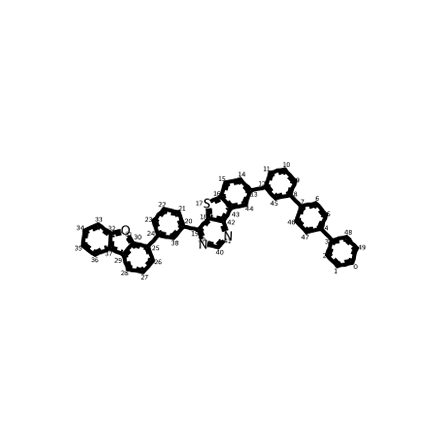 c1ccc(-c2ccc(-c3cccc(-c4ccc5sc6c(-c7cccc(-c8cccc9c8oc8ccccc89)c7)ncnc6c5c4)c3)cc2)cc1